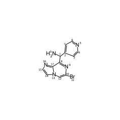 NC(c1ccncc1)c1nc(Br)cn2ccnc12